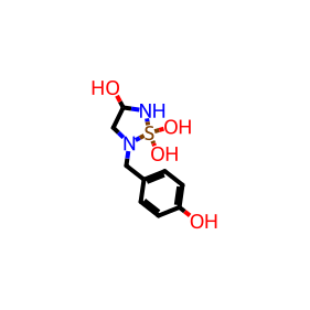 Oc1ccc(CN2CC(O)NS2(O)O)cc1